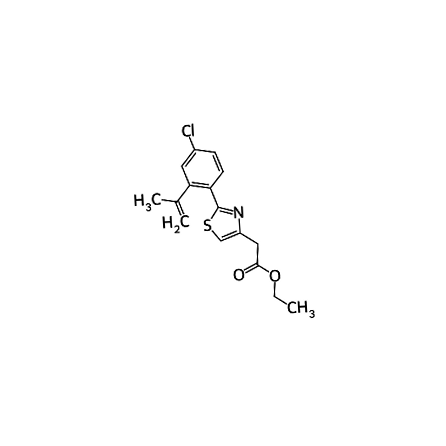 C=C(C)c1cc(Cl)ccc1-c1nc(CC(=O)OCC)cs1